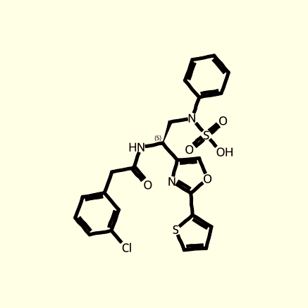 O=C(Cc1cccc(Cl)c1)N[C@@H](CN(c1ccccc1)S(=O)(=O)O)c1coc(-c2cccs2)n1